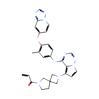 C=CC(=O)N1CCC2(C1)CN(c1ccn3ncnc(Nc4ccc(Oc5ccn6ncnc6c5)c(C)c4)c13)C2